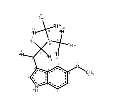 [2H]C(c1c[nH]c2ccc(OC)cc12)C([2H])([2H])N(C([2H])([2H])[2H])C([2H])([2H])[2H]